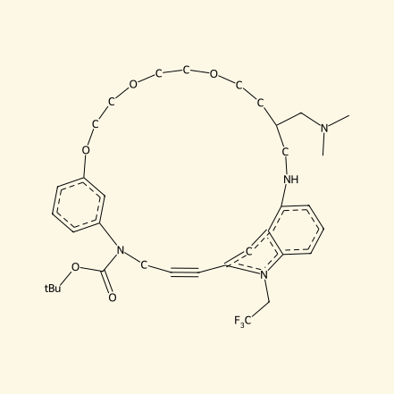 CN(C)CC1CCOCCOCCOc2cccc(c2)N(C(=O)OC(C)(C)C)CC#Cc2cc3c(cccc3n2CC(F)(F)F)NC1